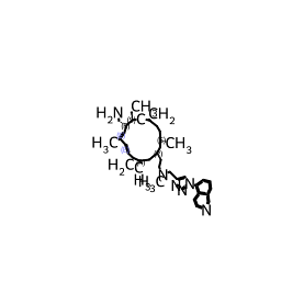 C=C1CC[C@H](C)C[C@@H](CCN(C)Cc2cn(-c3cccc4cnccc34)nn2)C[C@@H](C)C(=C)/C=C/C(C)=C/[C@H](CN)[C@@H](CC)C1